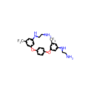 NCCNc1cc(Oc2ccc(Oc3cc(NCCN)cc(C(F)(F)F)c3)cc2)cc(C(F)(F)F)c1